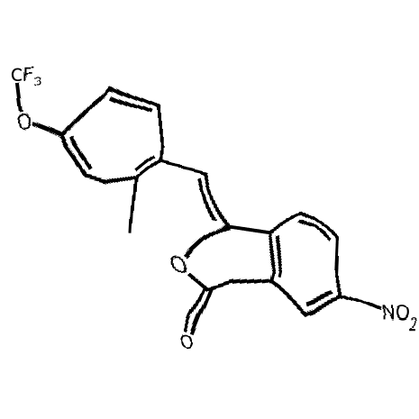 Cc1cc(OC(F)(F)F)ccc1C=C1OC(=O)c2cc([N+](=O)[O-])ccc21